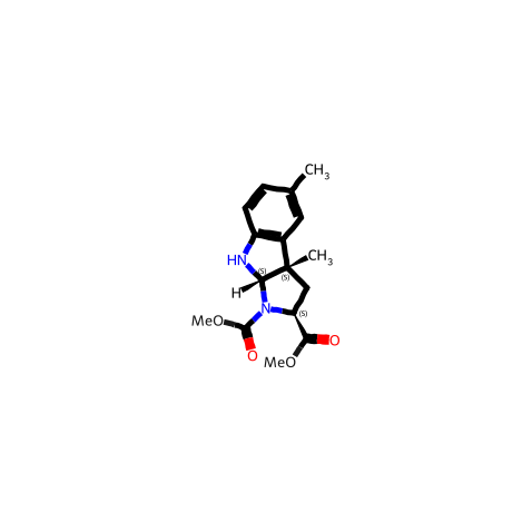 COC(=O)[C@@H]1C[C@@]2(C)c3cc(C)ccc3N[C@H]2N1C(=O)OC